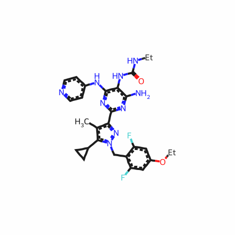 CCNC(=O)Nc1c(N)nc(-c2nn(Cc3c(F)cc(OCC)cc3F)c(C3CC3)c2C)nc1Nc1ccncc1